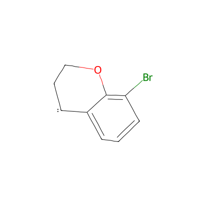 Brc1cccc2c1OCC[C]2